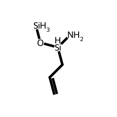 C=CC[SiH](N)O[SiH3]